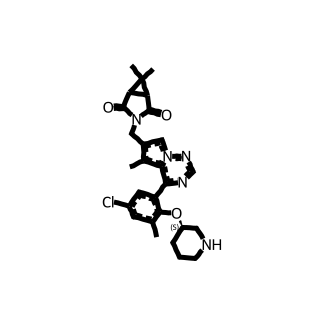 Cc1cc(Cl)cc(-c2ncnn3cc(CN4C(=O)C5C(C4=O)C5(C)C)c(C)c23)c1O[C@H]1CCCNC1